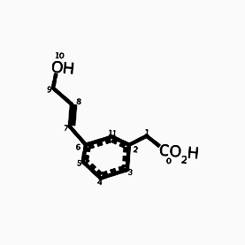 O=C(O)Cc1cccc(C=CCO)c1